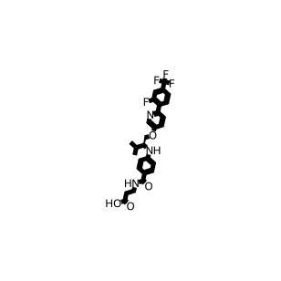 CC(C)[C@@H](COc1ccc(-c2ccc(C(F)(F)F)cc2F)nc1)Nc1ccc(C(=O)NCCC(=O)O)cc1